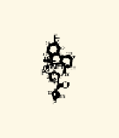 CS(=O)(=O)N[C@H]1[C@@H](F)CN(C(=O)C23CC(C2)C3)[C@H]1Cc1cccc(-c2cc(F)ccc2F)c1F